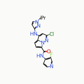 CC(C)n1ccc(Nc2cc(Cl)nn3c(C(=O)Nc4ccncc4F)ccc23)n1